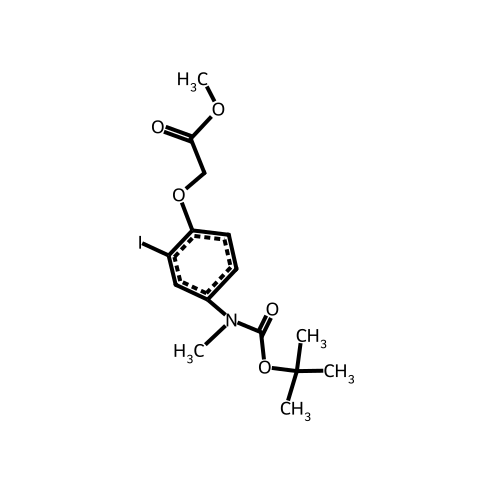 COC(=O)COc1ccc(N(C)C(=O)OC(C)(C)C)cc1I